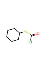 O=C(Cl)SC1CCCCC1